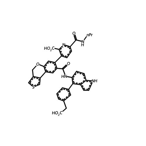 CCCNC(=O)c1ccc(-c2cc3c(cc2C(=O)Nc2ccc4[nH]ccc4c2-c2cccc(CC(=O)O)c2)-c2cscc2CO3)c(C(=O)O)n1